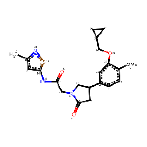 COc1ccc(C2CC(=O)N(CC(=O)Nc3cc(C)ns3)C2)cc1OCC1CC1